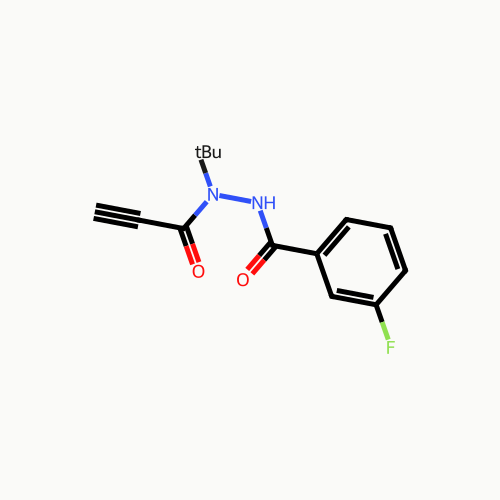 C#CC(=O)N(NC(=O)c1cccc(F)c1)C(C)(C)C